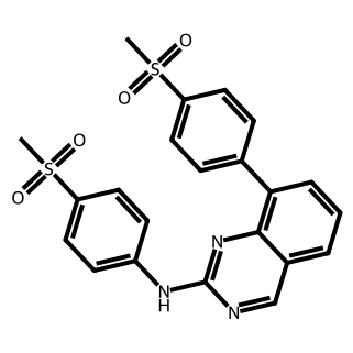 CS(=O)(=O)c1ccc(Nc2ncc3cccc(-c4ccc(S(C)(=O)=O)cc4)c3n2)cc1